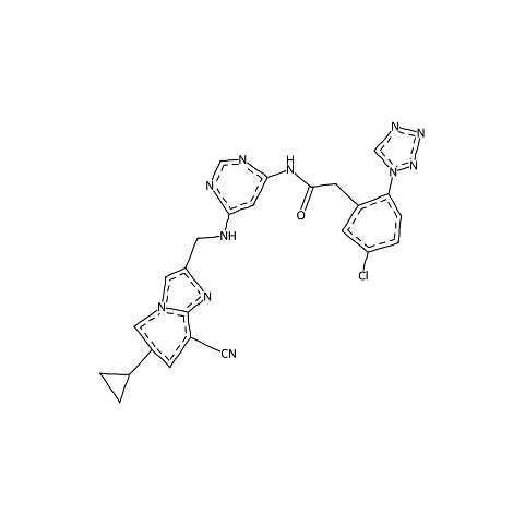 N#Cc1cc(C2CC2)cn2cc(CNc3cc(NC(=O)Cc4cc(Cl)ccc4-n4cnnn4)ncn3)nc12